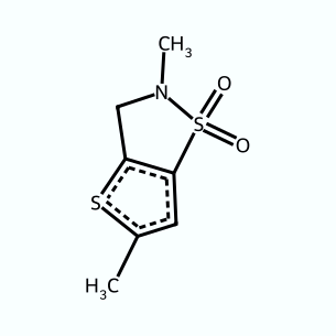 Cc1cc2c(s1)CN(C)S2(=O)=O